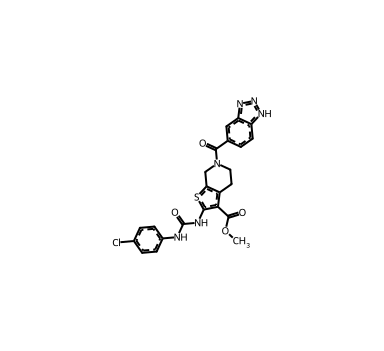 COC(=O)c1c(NC(=O)Nc2ccc(Cl)cc2)sc2c1CCN(C(=O)c1ccc3[nH]nnc3c1)C2